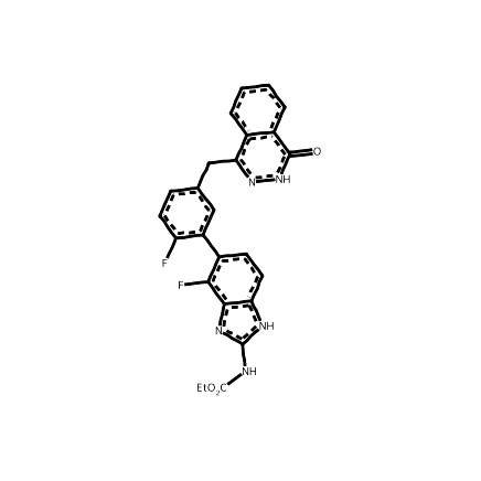 CCOC(=O)Nc1nc2c(F)c(-c3cc(Cc4n[nH]c(=O)c5ccccc45)ccc3F)ccc2[nH]1